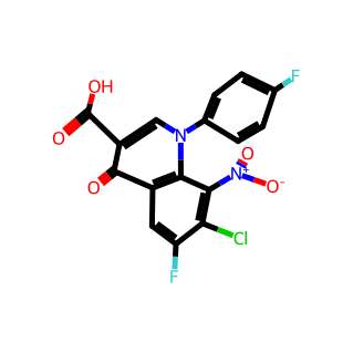 O=C(O)c1cn(-c2ccc(F)cc2)c2c([N+](=O)[O-])c(Cl)c(F)cc2c1=O